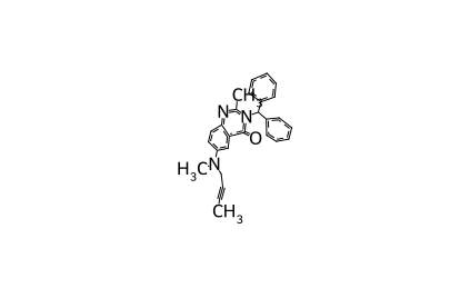 CC#CCN(C)c1ccc2nc(C)n(C(c3ccccc3)c3ccccc3)c(=O)c2c1